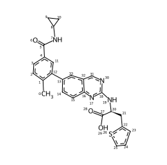 Cc1ccc(C(=O)NC2CC2)cc1-c1ccc2nc(N[C@@H](Cc3cccs3)C(=O)O)ncc2c1